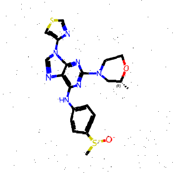 C[C@@H]1CN(c2nc(Nc3ccc([S+](C)[O-])cc3)c3ncn(-c4cscn4)c3n2)CCO1